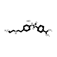 C=CCNCCc1ccc(NS(=O)(=O)c2ccc(C(C)C)cc2)cc1.Cl